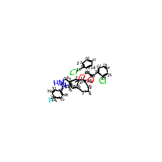 CC12CC3=C(C=C1CCCC21O[C@H](c2ccccc2Cl)[C@@H](c2ccccc2Cl)O1)N(c1ccc(F)cc1)NC3